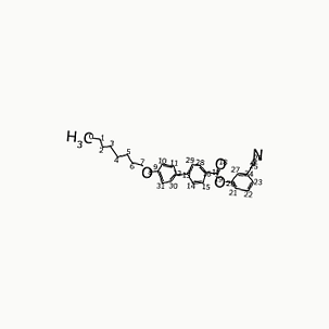 CCCCCCCCOc1ccc(-c2ccc(C(=O)Oc3cccc(C#N)c3)cc2)cc1